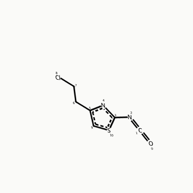 O=C=Nc1nc(CCCl)cs1